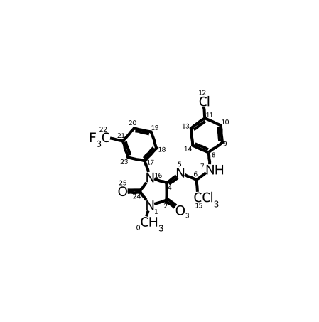 CN1C(=O)C(=NC(Nc2ccc(Cl)cc2)C(Cl)(Cl)Cl)N(c2cccc(C(F)(F)F)c2)C1=O